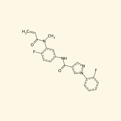 C=CC(=O)N(C)c1cc(NC(=O)c2cnn(-c3ccccc3F)c2)ccc1F